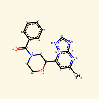 Cc1cc(C2CN(C(=O)c3ccccc3)CCO2)n2ncnc2n1